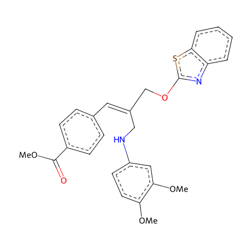 COC(=O)c1ccc(C=C(CNc2ccc(OC)c(OC)c2)COc2nc3ccccc3s2)cc1